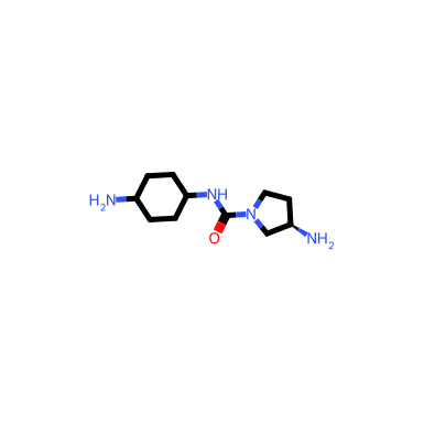 NC1CCC(NC(=O)N2CC[C@@H](N)C2)CC1